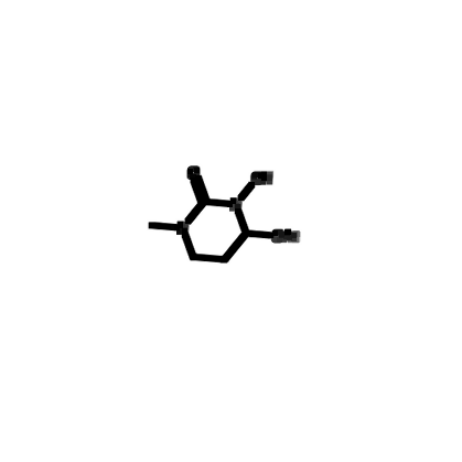 CC(=O)OC1CCN(C)C(=O)N1O